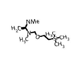 C=C(NC)N(C)COCC[Si](C)(C)C